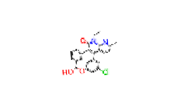 CCn1c(=O)c(-c2cccc(C(=O)O)c2)c(-c2cccc(Cl)c2)c2ccc(C)nc21